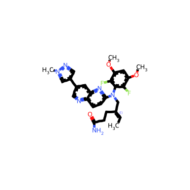 C/C=C(\CCC(N)=O)CN(c1ccc2ncc(-c3cnn(C)c3)cc2n1)c1c(F)c(OC)cc(OC)c1F